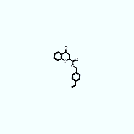 C=Cc1ccc(COC(=O)C2CC(=O)c3ccccc3S2)cc1